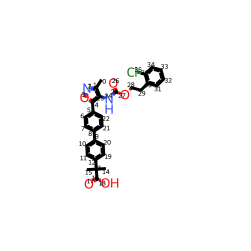 Cc1noc(-c2ccc(-c3ccc(C(C)(C)C(=O)O)cc3)cc2)c1NC(=O)OCCc1ccccc1Cl